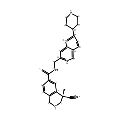 C[C@@]1(C#N)COCc2ccc(C(=O)NCc3cc4nc(C5CCOCC5)ccc4cn3)cc21